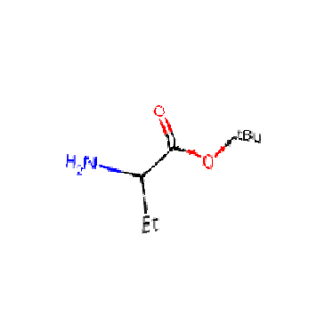 [CH2]CC(N)C(=O)OC(C)(C)C